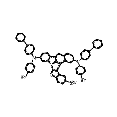 CC(C)c1ccc(N(c2ccc(-c3ccccc3)cc2)c2ccc3cc4c5ccc(N(c6ccc(-c7ccccc7)cc6)c6ccc(C(C)C)cc6)cc5n5c6oc7ccc(C(C)(C)C)cc7c6c(c3c2)c45)cc1